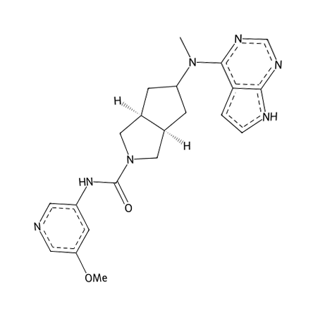 COc1cncc(NC(=O)N2C[C@H]3CC(N(C)c4ncnc5[nH]ccc45)C[C@H]3C2)c1